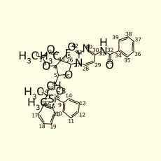 CC(=O)OC1C(CO[Si](c2ccccc2)(c2ccccc2)C(C)(C)C)OC(n2ccc(NC(=O)c3ccccc3)nc2=O)C1(C)F